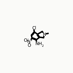 CN1Cc2c(Cl)cc([N+](=O)[O-])c(N)c2C1